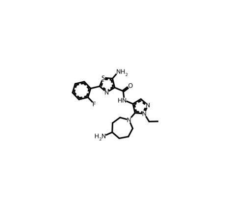 CCn1ncc(NC(=O)c2nc(-c3ccccc3F)sc2N)c1N1CCCC(N)CC1